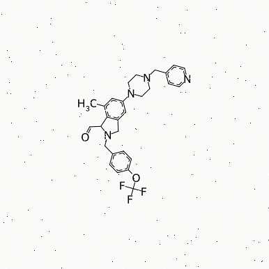 Cc1cc(N2CCN(Cc3ccncc3)CC2)cc2c1C(C=O)N(Cc1ccc(OC(F)(F)F)cc1)C2